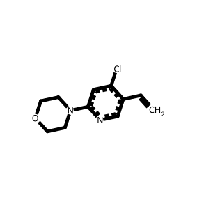 C=Cc1cnc(N2CCOCC2)cc1Cl